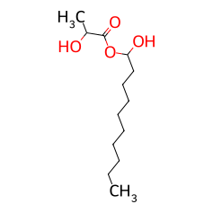 CCCCCCCCCC(O)OC(=O)C(C)O